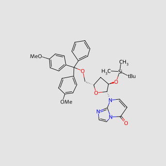 COc1ccc(C(OC[C@@H]2C[C@@H](O[Si](C)(C)C(C)(C)C)[C@H](n3ccc(=O)n4ccnc34)O2)(c2ccccc2)c2ccc(OC)cc2)cc1